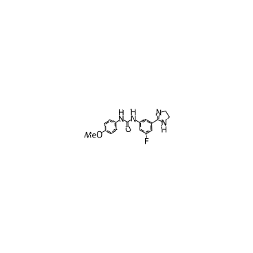 COc1ccc(NC(=O)Nc2cc(F)cc(C3=NCCN3)c2)cc1